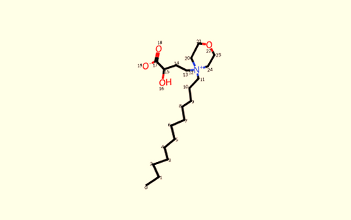 CCCCCCCCCCCC[N+]1(CCC(O)C(=O)[O-])CCOCC1